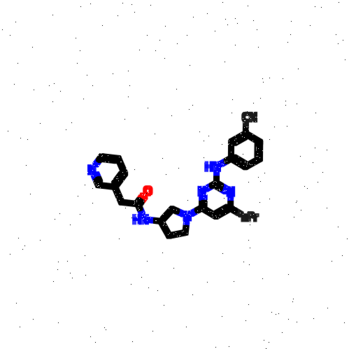 CCCc1cc(N2CCC(NC(=O)Cc3cccnc3)C2)nc(Nc2cccc(C#N)c2)n1